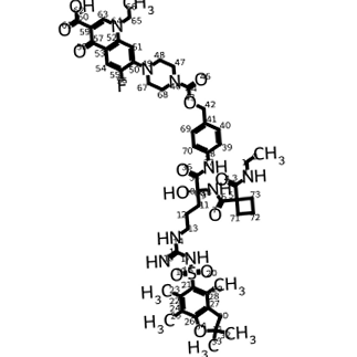 CCNC(=O)C1(C(=O)N[C@@](O)(CCCNC(=N)NS(=O)(=O)c2c(C)c(C)c3c(c2C)CC(C)(C)O3)C(=O)Nc2ccc(COC(=O)N3CCN(c4cc5c(cc4F)c(=O)c(C(=O)O)cn5CC)CC3)cc2)CCC1